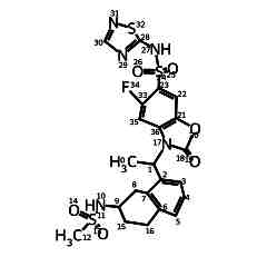 CC(c1cccc2c1CC(NS(C)(=O)=O)CC2)n1c(=O)oc2cc(S(=O)(=O)Nc3ncns3)c(F)cc21